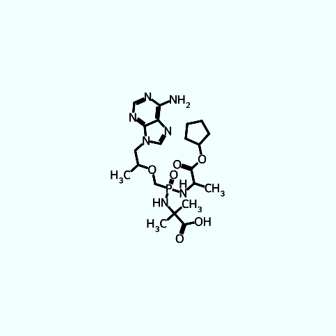 CC(Cn1cnc2c(N)ncnc21)OCP(=O)(NC(C)C(=O)OC1CCCC1)NC(C)(C)C(=O)O